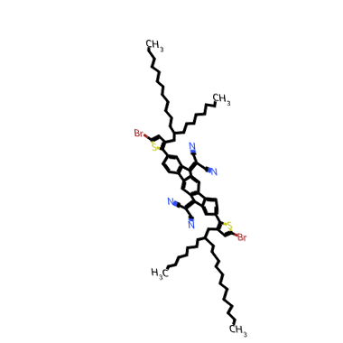 CCCCCCCCCCCCC(CCCCCCCC)Cc1cc(Br)sc1-c1ccc2c(c1)C(=C(C#N)C#N)c1cc3c(cc1-2)C(=C(C#N)C#N)c1cc(-c2sc(Br)cc2CC(CCCCCCCC)CCCCCCCCCCCC)ccc1-3